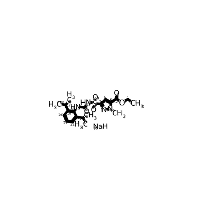 CCOC(=O)c1cc(S(=O)(=O)NC(=O)Nc2c(C(C)C)cccc2C(C)C)nn1C.[NaH]